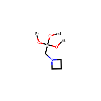 CCO[Si](CN1CCC1)(OCC)OCC